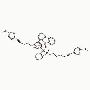 COc1ccc(C#CCCCCCC(C)(C)[Si](O[Si](c2ccccc2)(c2ccccc2)C(C)(C)CCCCCC#Cc2ccc(OC)cc2)(c2ccccc2)c2ccccc2)cc1